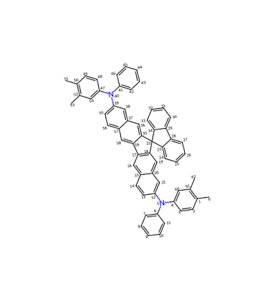 Cc1ccc(N(c2ccccc2)c2ccc3cc4c(cc3c2)C2(c3ccccc3-c3ccccc32)c2cc3cc(N(c5ccccc5)c5ccc(C)c(C)c5)ccc3cc2-4)cc1C